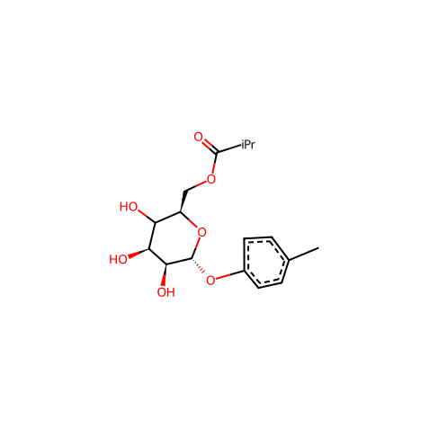 Cc1ccc(O[C@H]2O[C@H](COC(=O)C(C)C)C(O)[C@H](O)[C@@H]2O)cc1